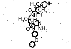 CC(C)(CNC(=O)C(C#N)=CC(C)(C)N1CCNCC1)Cn1c(=O)n(-c2ccc(Oc3ccccc3)cc2)c2c(N)ncnc21